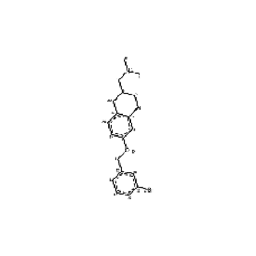 CN(C)CC1CCc2cc(OCc3cccc(Br)c3)ccc2C1